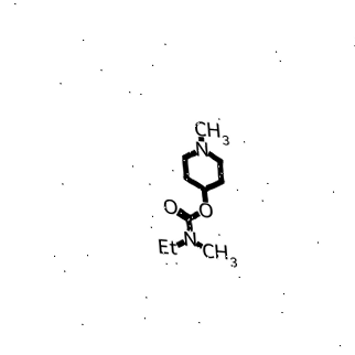 [CH2]CN(C)C(=O)OC1CCN(C)CC1